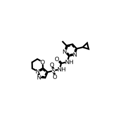 Cc1cc(C2CC2)nc(NC(=O)NS(=O)(=O)c2cnn3c2OCCC3)n1